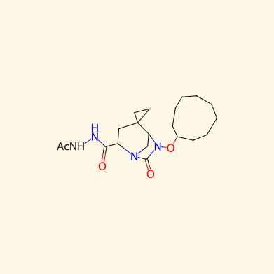 CC(=O)NNC(=O)C1CC2(CC2)C2CN1C(=O)N2OC1CCCCCCCC1